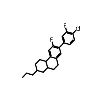 CCCC1CCC2c3cc(F)c(-c4ccc(Cl)c(F)c4)cc3CCC2C1